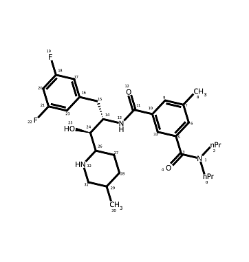 CCCN(CCC)C(=O)c1cc(C)cc(C(=O)N[C@@H](Cc2cc(F)cc(F)c2)[C@H](O)C2CCC(C)CN2)c1